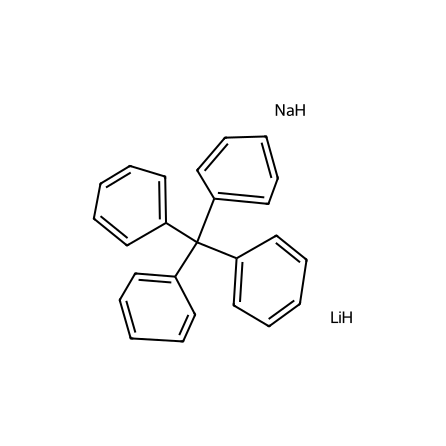 [LiH].[NaH].c1ccc(C(c2ccccc2)(c2ccccc2)c2ccccc2)cc1